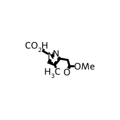 COC(=O)Cc1nn(CC(=O)O)cc1C